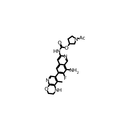 CC(=O)N1CCC(OC(=O)Nc2cc3cc(-c4cnc5c(c4C)NCCO5)c(F)c(N)c3cn2)C1